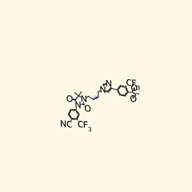 CC1(C)C(=O)N(c2ccc(C#N)c(C(F)(F)F)c2)C(=O)N1C/C=C\Cn1cnc(-c2ccc(S(C)(=O)=O)c(C(F)(F)F)c2)c1